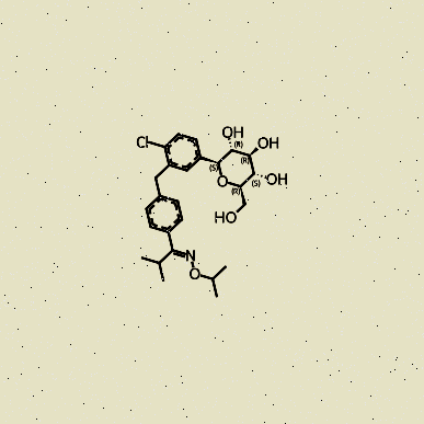 CC(C)ON=C(c1ccc(Cc2cc([C@@H]3O[C@H](CO)[C@@H](O)[C@H](O)[C@H]3O)ccc2Cl)cc1)C(C)C